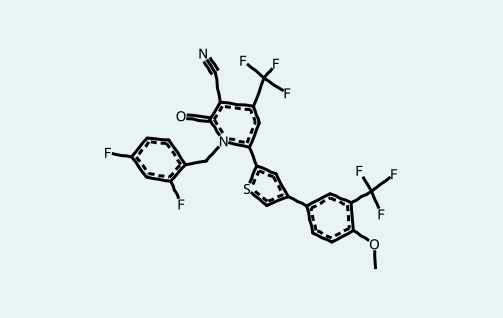 COc1ccc(-c2csc(-c3cc(C(F)(F)F)c(C#N)c(=O)n3Cc3ccc(F)cc3F)c2)cc1C(F)(F)F